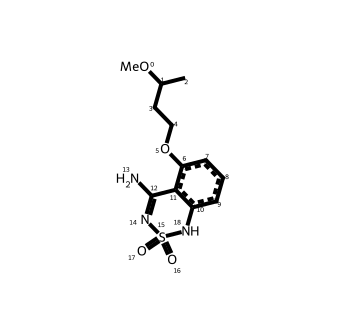 COC(C)CCOc1cccc2c1C(N)=NS(=O)(=O)N2